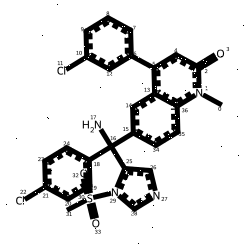 Cn1c(=O)cc(-c2cccc(Cl)c2)c2cc(C(N)(c3ccc(Cl)cc3)c3cncn3S(C)(=O)=O)ccc21